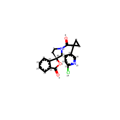 O=C1O[C@]2(CCN(C(=O)C3(c4ccc(Cl)nc4)CC3)C2)c2ccccc21